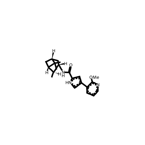 COc1ncccc1-c1c[nH]c(C(=O)N[C@H]2C[C@H]3C[C@@H]([C@@H]2C)C3(C)C)c1